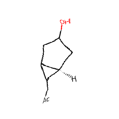 CC(=O)C1C2CC(O)C[C@H]21